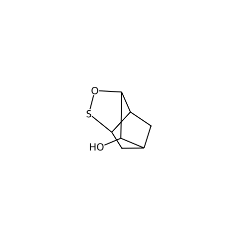 OC1C2CC3SOC1C3C2